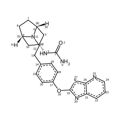 NC(=O)N[C@H]1C[C@H]2CC[C@@H](C1)N2CCc1ccc(Oc2nc3cccnc3s2)cc1